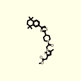 COC(=O)Cc1cc(C)n(CC(=O)N2CCC(c3nc(-c4ccc5c(c4)C(C)(C)CCC5(C)C)cs3)CC2)n1